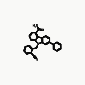 N#Cc1ccccc1Cn1c2cc(-c3ccccc3)c[c]c2c2c(C(N)=O)cccc21